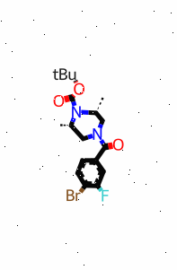 C[C@@H]1CN(C(=O)c2ccc(Br)c(F)c2)C[C@H](C)N1C(=O)OC(C)(C)C